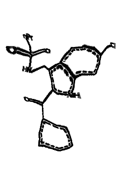 CCCS(=O)(=O)Nc1c(C(=O)c2ccccc2)[nH]c2cc(Cl)ccc12